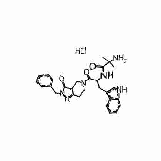 CC(C)(N)C(=O)NC(Cc1c[nH]c2ccccc12)C(=O)N1CCC2=NN(Cc3ccccc3)C(=O)C2C1.Cl